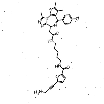 Cc1sc2c(c1C)C(c1ccc(Cl)cc1)=N[C@@H](CC(=O)NCCCCCNC(=O)c1ccc(C#CCN)o1)c1nnc(C)n1-2